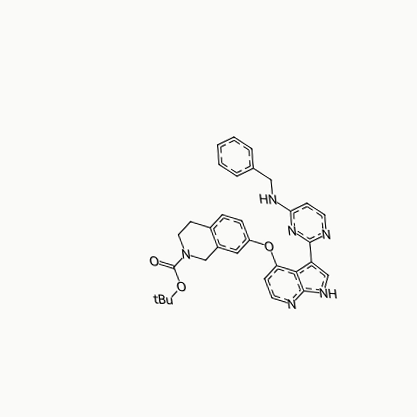 CC(C)(C)OC(=O)N1CCc2ccc(Oc3ccnc4[nH]cc(-c5nccc(NCc6ccccc6)n5)c34)cc2C1